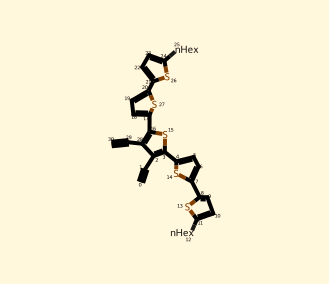 C#Cc1c(-c2ccc(-c3ccc(CCCCCC)s3)s2)sc(-c2ccc(-c3ccc(CCCCCC)s3)s2)c1C#C